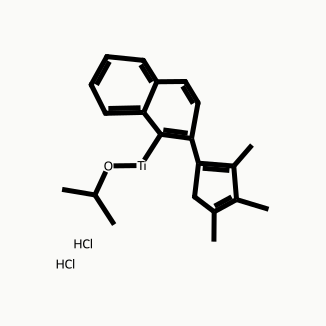 CC1=C(C)C(C)=C(c2ccc3ccccc3[c]2[Ti][O]C(C)C)C1.Cl.Cl